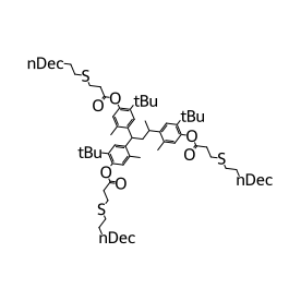 CCCCCCCCCCCCSCCC(=O)Oc1cc(C)c(C(C)CC(c2cc(C(C)(C)C)c(OC(=O)CCSCCCCCCCCCCCC)cc2C)c2cc(C(C)(C)C)c(OC(=O)CCSCCCCCCCCCCCC)cc2C)cc1C(C)(C)C